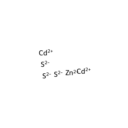 [Cd+2].[Cd+2].[S-2].[S-2].[S-2].[Zn+2]